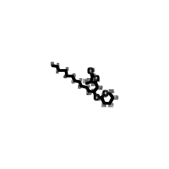 CCCCCCCCCCCC(CC1OC(=O)C1C)OC1CCCCO1